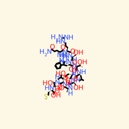 CSCC[C@H](NC(=O)[C@H](CO)NC(=O)[C@H](CC(C)C)NC(=O)[C@H](C)NC(=O)[C@H](CO)NC(=O)[C@H](CC(=O)O)NC(=O)[C@H](CC(C)C)NC(=O)[C@@H](NC(=O)[C@H](Cc1c[nH]c2ccccc12)NC(=O)[C@H](CO)NC(=O)[C@H](CCCNC(=N)N)NC(=O)[C@@H](N)CCC(N)=O)[C@@H](C)O)C(=O)O